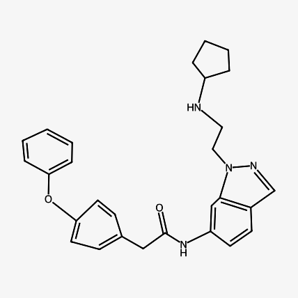 O=C(Cc1ccc(Oc2ccccc2)cc1)Nc1ccc2cnn(CCNC3CCCC3)c2c1